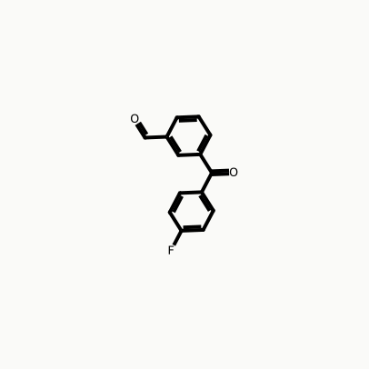 O=Cc1cccc(C(=O)c2ccc(F)cc2)c1